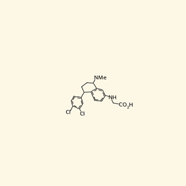 CNC1CCC(c2ccc(Cl)c(Cl)c2)c2ccc(NCC(=O)O)cc21